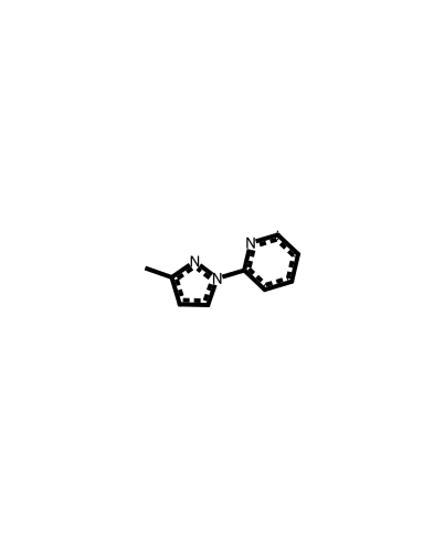 Cc1ccn(-c2ccc[c]n2)n1